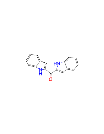 O=C(c1cc2ccccc2[nH]1)c1cc2ccccc2[nH]1